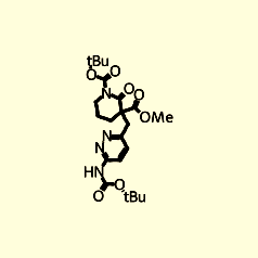 COC(=O)C1(Cc2ccc(NC(=O)OC(C)(C)C)nn2)CCCN(C(=O)OC(C)(C)C)C1=O